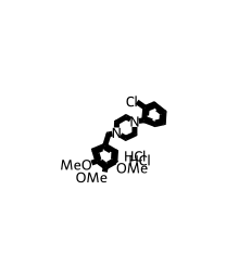 COc1cc(CN2CCN(c3ccccc3Cl)CC2)cc(OC)c1OC.Cl.Cl